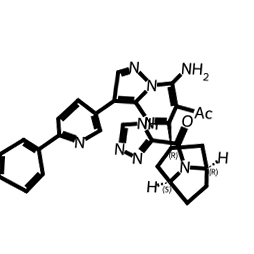 CC(=O)c1c([C@H]2C[C@H]3CC[C@@H](C2)N3C(=O)c2nnc[nH]2)nc2c(-c3ccc(-c4ccccc4)nc3)cnn2c1N